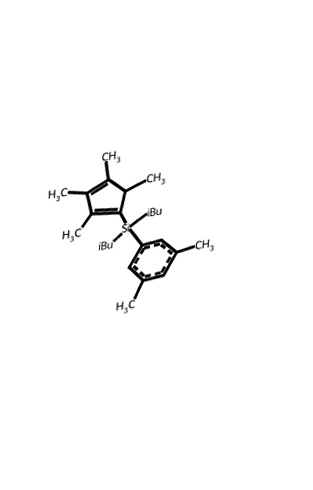 CCC(C)[Si](C1=C(C)C(C)=C(C)C1C)(c1cc(C)cc(C)c1)C(C)CC